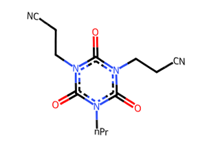 CCCn1c(=O)n(CCC#N)c(=O)n(CCC#N)c1=O